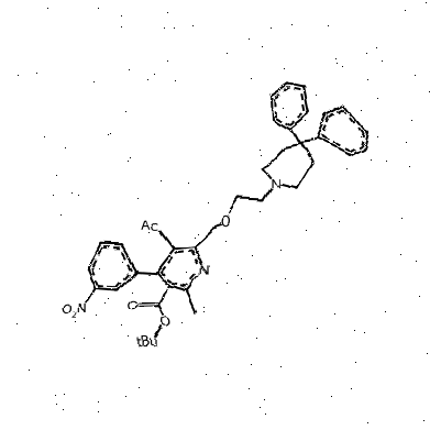 CC(=O)c1c(COCCN2CCC(c3ccccc3)(c3ccccc3)CC2)nc(C)c(C(=O)OC(C)(C)C)c1-c1cccc([N+](=O)[O-])c1